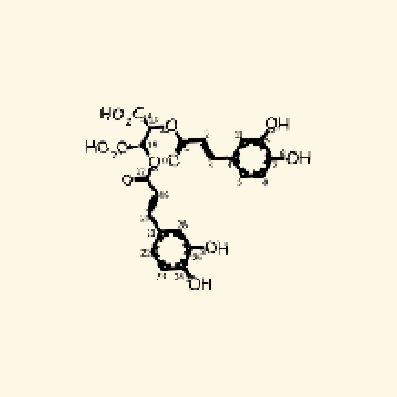 O=C(/C=C/c1ccc(O)c(O)c1)O[C@H](C(=O)O)[C@@H](OC(=O)/C=C/c1ccc(O)c(O)c1)C(=O)O